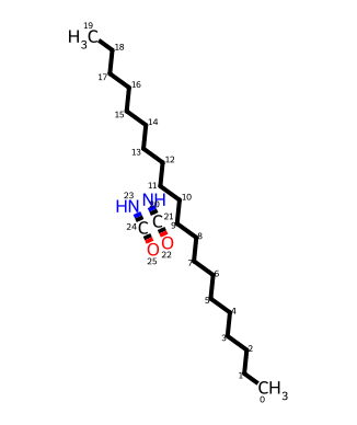 CCCCCCCCCCCCCCCCCCCC.N=C=O.N=C=O